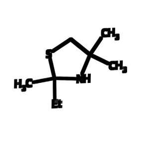 CCC1(C)NC(C)(C)CS1